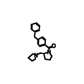 O=C(c1ccc(Cc2ccccc2)cc1)N1CCC[C@H]1CN1CCCC1